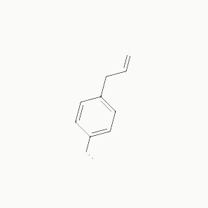 N#Cc1ccc(C[C]=S)cc1